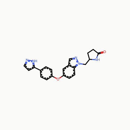 O=C1CCC(Cn2ncc3cc(Oc4ccc(-c5ccn[nH]5)cc4)ccc32)N1